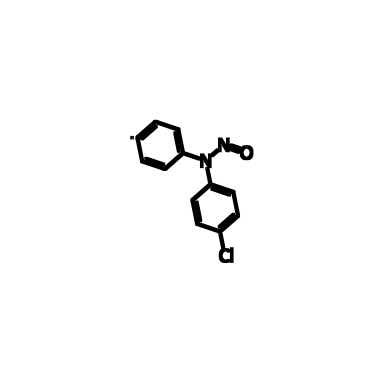 O=NN(c1cc[c]cc1)c1ccc(Cl)cc1